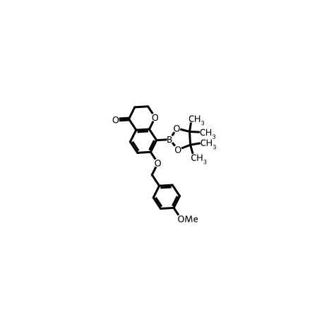 COc1ccc(COc2ccc3c(c2B2OC(C)(C)C(C)(C)O2)OCCC3=O)cc1